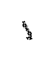 CC(C)CC1(CN2CCC(N3CC(F)(CN4CCN(C(C)C)CC4)C3)CC2)CC1